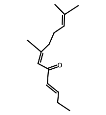 CCC=CC(=O)C=C(C)CCC=C(C)C